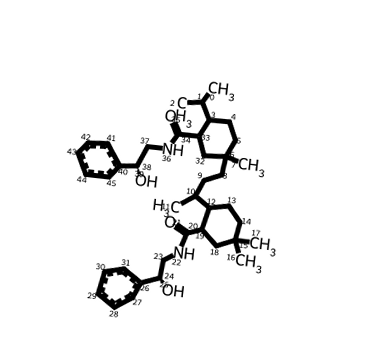 CC(C)C1CCC(C)(CCC(C)C2CCC(C)(C)CC2C(=O)NC[C@@H](O)c2ccccc2)CC1C(=O)NC[C@H](O)c1ccccc1